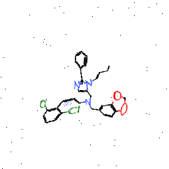 CCCCn1c(CN(C/C=C\c2c(Cl)cccc2Cl)Cc2ccc3c(c2)OCO3)cnc1-c1ccccc1